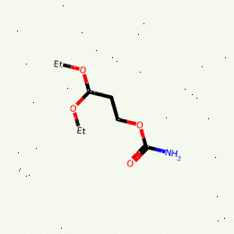 CCOC(CCOC(N)=O)OCC